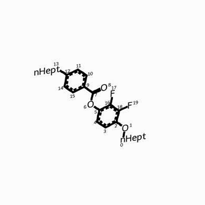 CCCCCCCOc1ccc(OC(=O)c2ccc(CCCCCCC)cc2)c(F)c1F